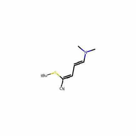 CN(C)/C=C/C=C(/C#N)SC(C)(C)C